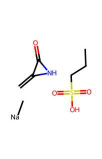 C=C1NC1=O.CCCS(=O)(=O)O.[CH3][Na]